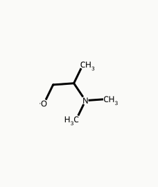 CC(C[O])N(C)C